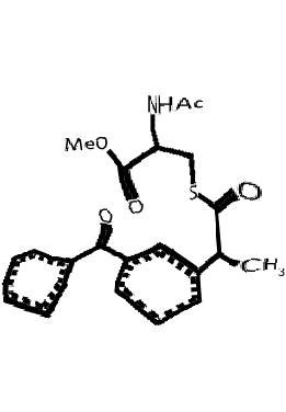 COC(=O)C(CSC(=O)C(C)c1cccc(C(=O)c2ccccc2)c1)NC(C)=O